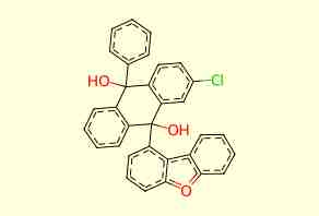 OC1(c2ccccc2)c2ccccc2C(O)(c2cccc3oc4ccccc4c23)c2cc(Cl)ccc21